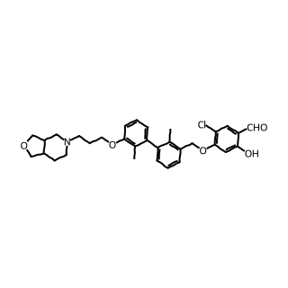 Cc1c(COc2cc(O)c(C=O)cc2Cl)cccc1-c1cccc(OCCCN2CCC3COCC3C2)c1C